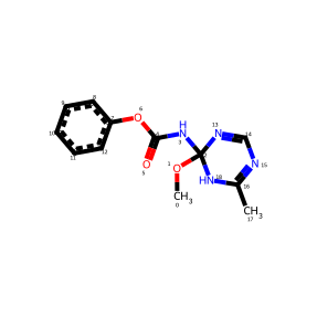 COC1(NC(=O)Oc2ccccc2)N=CN=C(C)N1